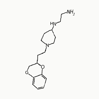 NCCNC1CCN(CCC2COc3ccccc3O2)CC1